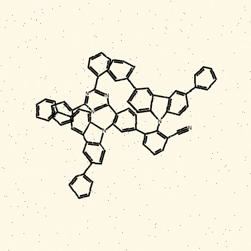 N#Cc1cccc(-c2ccc(-c3nc(-c4ccccc4)nc(-c4ccccc4)n3)c(-n3c4ccc(-c5ccccc5)cc4c4cc(-c5ccccc5)ccc43)c2)c1-n1c2ccc(-c3ccccc3)cc2c2cc(-c3ccccc3)ccc21